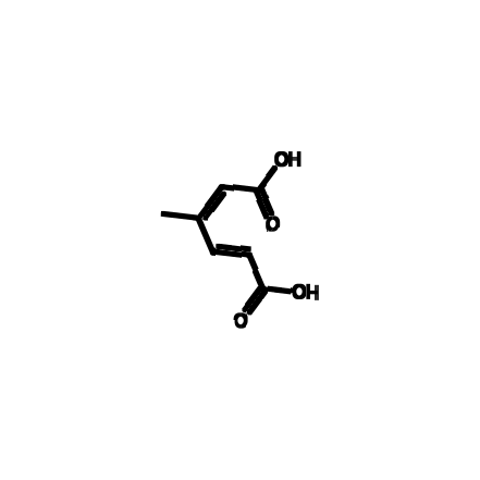 CC(C=CC(=O)O)=CC(=O)O